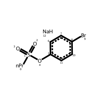 CCCS(=O)(=O)Oc1ccc(Br)cc1.[NaH]